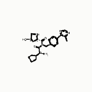 Cc1ncsc1-c1ccc(CN(C(=O)[C@@H]2C[C@@H](O)CN2)C(=O)[C@@H](N)C2CCCC2)cc1